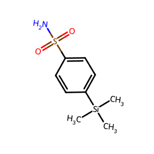 C[Si](C)(C)c1ccc(S(N)(=O)=O)cc1